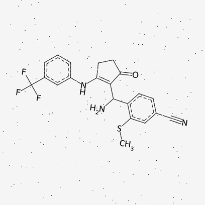 CSc1cc(C#N)ccc1C(N)C1=C(Nc2cccc(C(F)(F)F)c2)CCC1=O